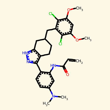 C=CC(=O)Nc1cc(N(C)C)ccc1-c1n[nH]c2c1CCC(Cc1c(Cl)c(OC)cc(OC)c1Cl)C2